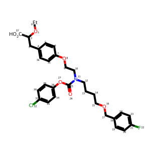 CCOC(Cc1ccc(OCCN(CCCCOCc2ccc(F)cc2)C(=O)Oc2ccc(Cl)cc2)cc1)C(=O)O